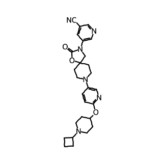 N#Cc1cncc(N2CC3(CCN(c4ccc(OC5CCN(C6CCC6)CC5)nc4)CC3)OC2=O)c1